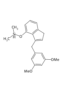 COc1cc(CC2=CCc3cccc(O[SiH](C)C)c32)cc(OC)c1